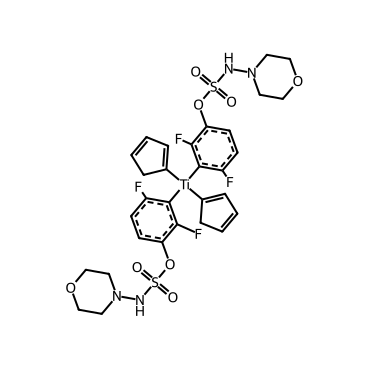 O=S(=O)(NN1CCOCC1)Oc1ccc(F)[c]([Ti]([C]2=CC=CC2)([C]2=CC=CC2)[c]2c(F)ccc(OS(=O)(=O)NN3CCOCC3)c2F)c1F